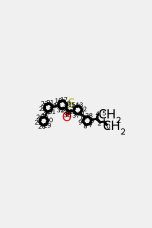 C=C/C=C(\C=C)c1cccc(-c2ccc3sc4ccc(-c5cccc(-c6ccccc6)c5)cc4c(=O)c3c2)c1